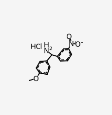 COc1ccc(C(N)c2cccc([N+](=O)[O-])c2)cc1.Cl